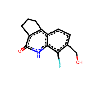 O=c1[nH]c2c(F)c(CO)ccc2c2c1CCC2